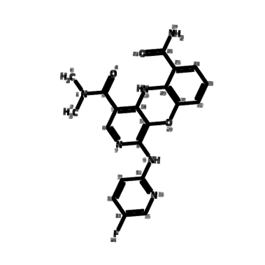 CN(C)C(=O)c1cnc(Nc2ccc(F)cn2)c2c1Nc1c(cccc1C(N)=O)O2